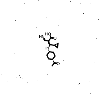 CC(=O)[C@H]1CC[C@H](N/C(=C(\C=N)C(=O)O)C2CC2)CC1